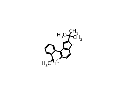 CCc1ccccc1-c1c(C)ccc2c1C=C(C(C)(C)C)[CH]2